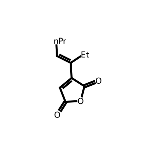 CCCC=C(CC)C1=CC(=O)OC1=O